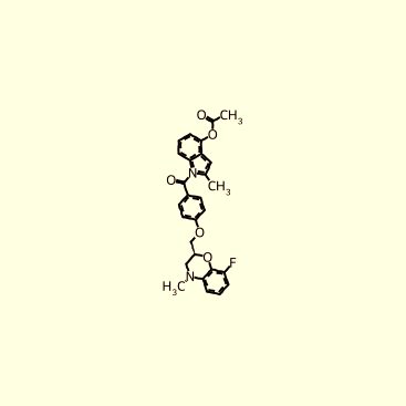 CC(=O)Oc1cccc2c1cc(C)n2C(=O)c1ccc(OC[C@@H]2CN(C)c3cccc(F)c3O2)cc1